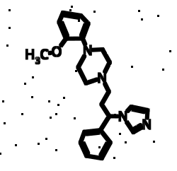 COc1ccccc1N1CCN(CCC(c2ccccc2)n2ccnc2)CC1